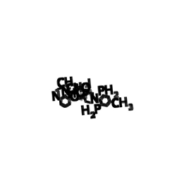 C=C1C=Nc2cccc(OC[C@]3(O)CCN(c4c(P)cc(C)cc4P)C[C@H]3OI)c2N1C